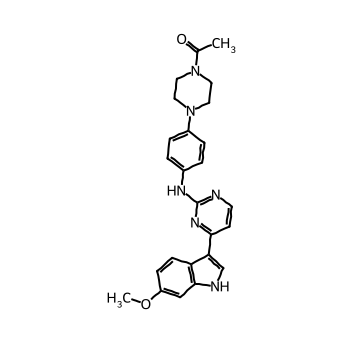 COc1ccc2c(-c3ccnc(Nc4ccc(N5CCN(C(C)=O)CC5)cc4)n3)c[nH]c2c1